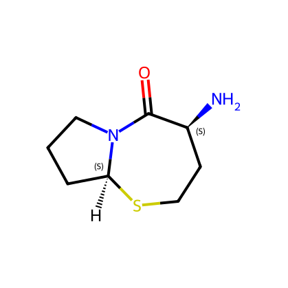 N[C@H]1CCS[C@H]2CCCN2C1=O